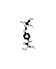 C#CC(C)(C)OCOc1ccc(NC(=O)N(C)C)cc1